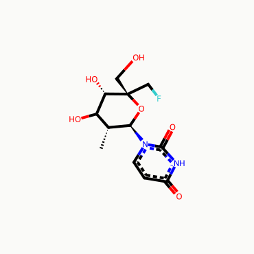 C[C@@H]1C(O)[C@H](O)[C@](CO)(CF)O[C@H]1n1ccc(=O)[nH]c1=O